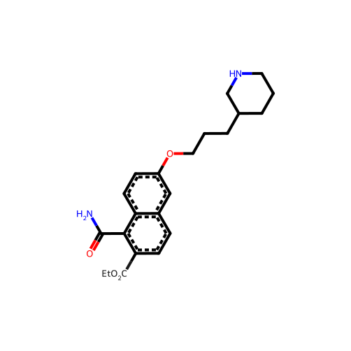 CCOC(=O)c1ccc2cc(OCCCC3CCCNC3)ccc2c1C(N)=O